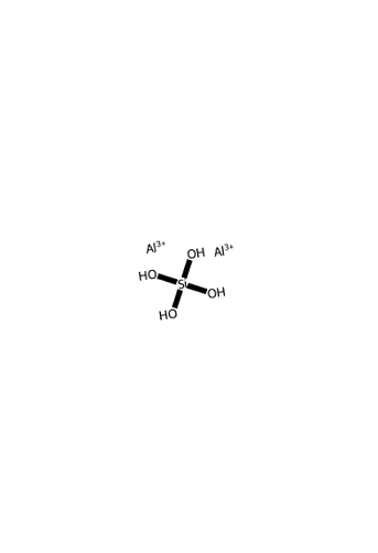 O[Si](O)(O)O.[Al+3].[Al+3]